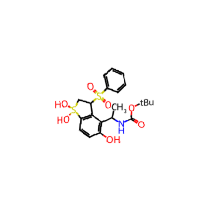 CC(NC(=O)OC(C)(C)C)c1c(O)ccc2c1C(S(=O)(=O)c1ccccc1)CS2(O)O